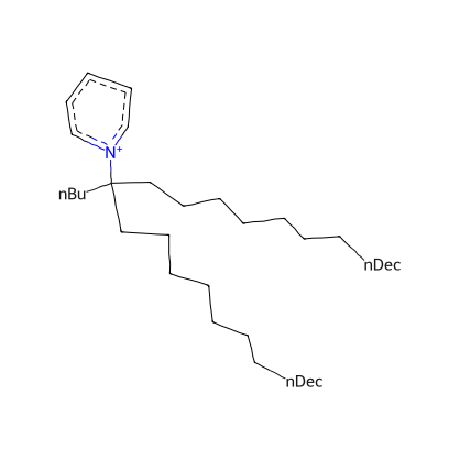 CCCCCCCCCCCCCCCCCC(CCCC)(CCCCCCCCCCCCCCCCC)[n+]1ccccc1